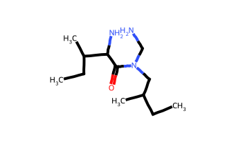 CCC(C)CN(CN)C(=O)C(N)C(C)CC